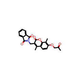 CC(=O)COc1ccc2c(C)c(CN3C(=O)c4ccccc4C3=O)c(=O)oc2c1C